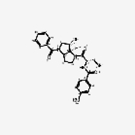 CC(C)C[C@H](NC(=O)c1ccc(C(C)(C)C)cc1)C(=O)N1CCC2[C@H]1[C@@H](O)CN2C(=O)c1ccccc1